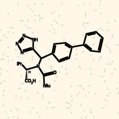 CCCCC(=O)N(C(c1ccc(-c2ccccc2)cc1)c1nnn[nH]1)[C@H](C(=O)O)C(C)C